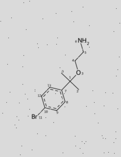 CC(C)(OCCN)c1ccc(Br)cc1